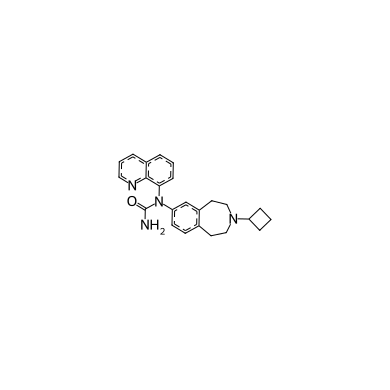 NC(=O)N(c1ccc2c(c1)CCN(C1CCC1)CC2)c1cccc2cccnc12